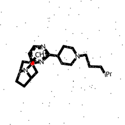 CC(C)CCCN1CCC(c2nccc(N3C4CCC3CN(C)C4)n2)CC1